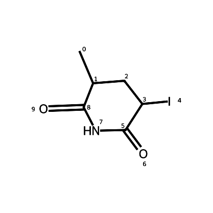 CC1CC(I)C(=O)NC1=O